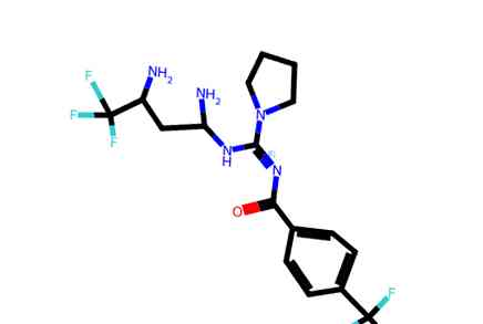 NC(CC(N)C(F)(F)F)N/C(=N\C(=O)c1ccc(C(F)(F)F)cc1)N1CCCC1